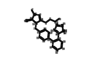 CCCCc1cn(C)c(=O)n1Cc1ccc(-c2cnccc2-c2nnn[nH]2)cc1